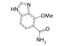 COc1c(C(N)=O)ccc2[nH]cnc12